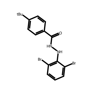 CC(C)(C)c1ccc(C(=O)NNc2c(Br)cccc2Br)cc1